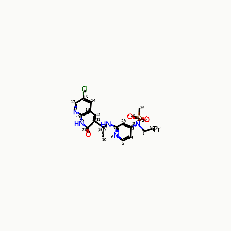 CC(C)CN(c1ccnc(N[C@@H](C)c2cc3cc(Cl)cnc3[nH]c2=O)c1)S(C)(=O)=O